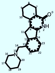 O=c1[nH]c2c(c3c1CCCC3)Cc1c(CN3CCCCC3)cccc1-2